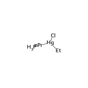 CC[CH2][Hg]([Cl])[CH2]C.P